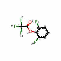 O=C(Oc1c(F)cccc1F)C(F)(F)F